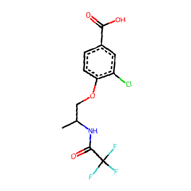 CC(COc1ccc(C(=O)O)cc1Cl)NC(=O)C(F)(F)F